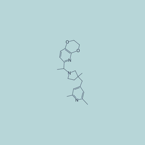 Cc1cc(CC2(C)CCN(C(C)c3ccc4c(n3)OCCO4)C2)cc(C)n1